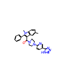 Cc1ccc2c(c1)c(C(=O)N1CCN(c3ccc(-c4nnn[nH]4)cn3)CC1)c(-c1ccccc1)n2C